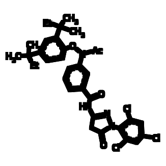 CCC(C)(C)c1ccc(ON(C(C)=O)c2cccc(C(=O)NC3=NN(c4c(Cl)cc(Cl)cc4Cl)C(=O)C3)c2)c(C(C)(C)CC)c1